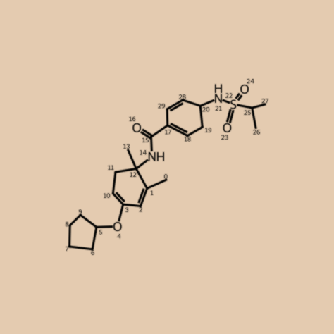 CC1=CC(OC2CCCC2)=CCC1(C)NC(=O)C1=CCC(NS(=O)(=O)C(C)C)C=C1